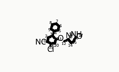 N#Cc1cc(-c2ccccc2)c(OCc2ccc(=O)[nH]n2)cc1Cl